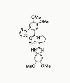 COc1cc(C(=O)N2CCC[C@@]2(C)c2nc3cc(OC)c(OC)cc3[nH]2)c(-n2nccn2)cc1OC